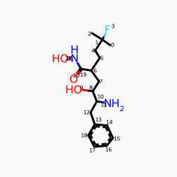 CC(C)(F)CCC(CC(O)C(N)Cc1ccccc1)C(=O)NO